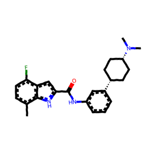 Cc1ccc(F)c2cc(C(=O)Nc3cccc([C@H]4CC[C@@H](N(C)C)CC4)c3)[nH]c12